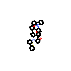 c1ccc(-c2ccccc2-n2c3ccccc3c3ccccc32)c(-c2ccc(N(c3cccc4c3sc3ccccc34)c3cccc4oc5ccccc5c34)cc2)c1